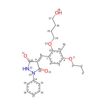 CCCOc1ccc(/C=C2/C(=O)NN(c3ccccc3)C2=O)c(OCCCCO)c1C